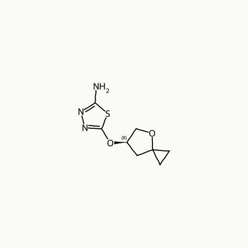 Nc1nnc(O[C@H]2COC3(CC3)C2)s1